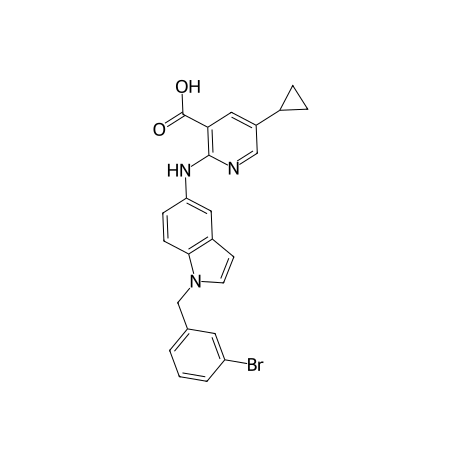 O=C(O)c1cc(C2CC2)cnc1Nc1ccc2c(ccn2Cc2cccc(Br)c2)c1